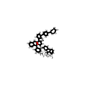 CC1(C)c2ccccc2-c2ccc(N(c3ccc4c(c3)sc3c(-c5ccc(C6CCCCC6)cc5)cccc34)c3ccccc3-c3cccc4ccccc34)cc21